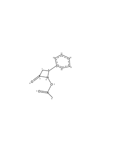 CC(=O)ON1C(=O)CC1c1ccccc1